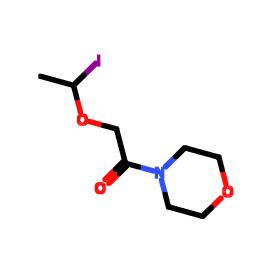 CC(I)OCC(=O)N1CCOCC1